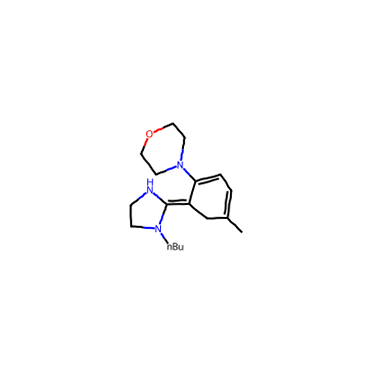 CCCCN1CCNC1=C1CC(C)=CC=C1N1CCOCC1